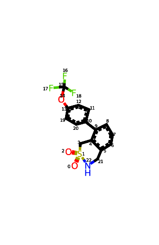 O=S1(=O)Cc2c(cccc2-c2ccc(OC(F)(F)F)cc2)CN1